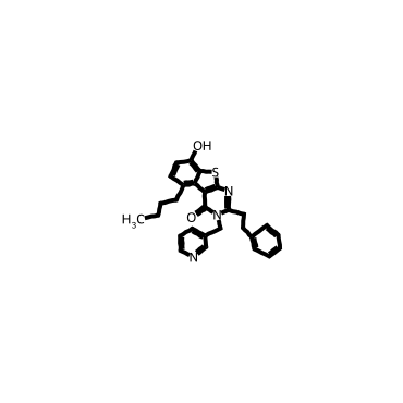 CCCCc1ccc(O)c2sc3nc(CCc4ccccc4)n(Cc4cccnc4)c(=O)c3c12